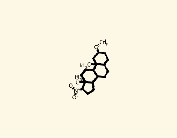 COC1CCC2CCC3C(CCC4(C)C3CCC4[N+](=O)[O-])C2(C)C1